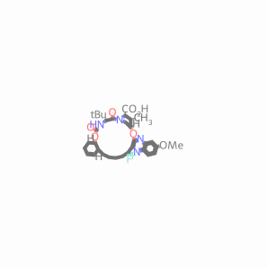 COc1ccc2nc3c(nc2c1)O[C@H]1CN(C(=O)[C@H](C(C)(C)C)NC(=O)O[C@@H]2CCC=C[C@H]2CCCCC3(F)F)[C@H](C(=O)O)[C@@H]1C